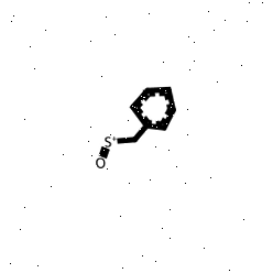 O=[S+]Cc1c[c]ccc1